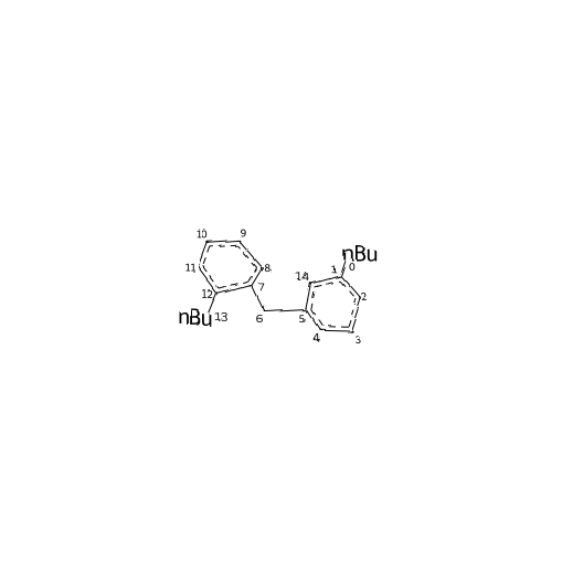 CCCCc1cccc(Cc2ccccc2CCCC)c1